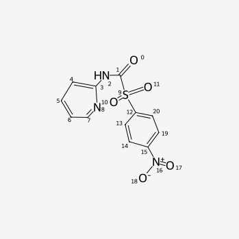 O=C(Nc1ccccn1)S(=O)(=O)c1ccc([N+](=O)[O-])cc1